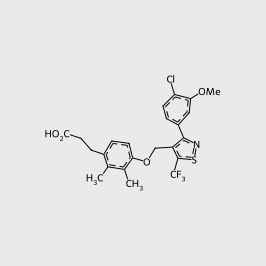 COc1cc(-c2nsc(C(F)(F)F)c2COc2ccc(CCC(=O)O)c(C)c2C)ccc1Cl